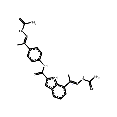 C=C(N)N/N=C(\C)c1ccc(NC(=O)c2cc3cccc(/C(C)=N/NC(=N)N)c3[nH]2)cc1